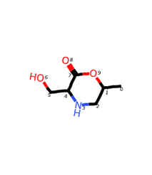 CC1CNC(CO)C(=O)O1